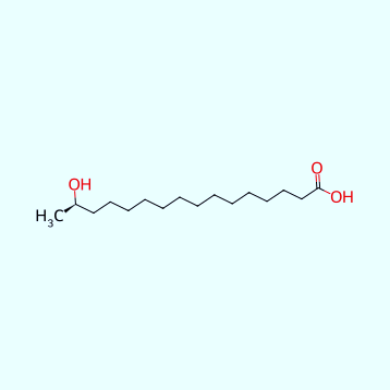 C[C@@H](O)CCCCCCCCCCCCCC(=O)O